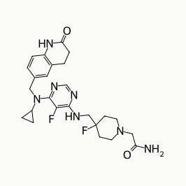 NC(=O)CN1CCC(F)(CNc2ncnc(N(Cc3ccc4c(c3)CCC(=O)N4)C3CC3)c2F)CC1